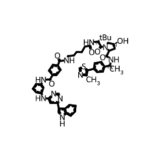 Cc1ncsc1-c1ccc([C@@H](C)NC(=O)C2C[C@H](O)CN2C(=O)[C@H](NC(=O)CCCCCNC(=O)c2ccc(C(=O)Nc3cccc(Nc4cc(-c5c[nH]c6ccccc56)ncn4)c3)cc2)C(C)(C)C)cc1